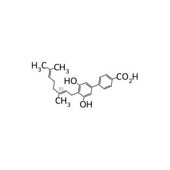 CC(C)=CCC/C(C)=C/Cc1c(O)cc(-c2ccc(C(=O)O)cc2)cc1O